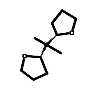 CC(C)([C@@H]1CCCO1)[C@@H]1CCCO1